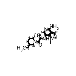 CCC1CCC(C)N(C(=O)C(=O)Nc2cnc(N)c3cn[nH]c23)C1